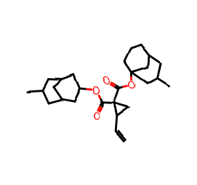 C=CC1CC1(C(=O)OC1CC2CC(C)CC(C2)C1)C(=O)OC12CCCC(CC(C)C1)C2